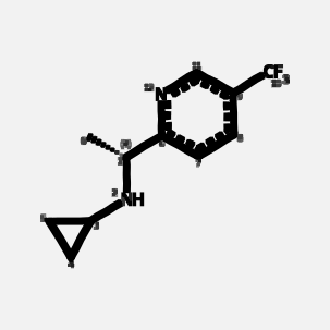 C[C@@H](NC1CC1)c1ccc(C(F)(F)F)cn1